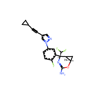 NC1=N[C@@](c2cc(-n3cc(C#CC4CC4)cn3)ccc2F)(C(F)F)C2C[C@H]2O1